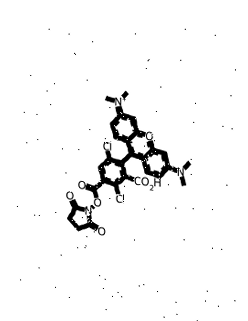 CN(C)c1ccc2c(-c3c(Cl)cc(C(=O)ON4C(=O)CCC4=O)c(Cl)c3C(=O)O)c3ccc(=[N+](C)C)cc-3oc2c1